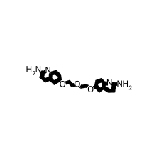 Nc1ccc2cc(OCCOCCOc3ccc4nc(N)ccc4c3)ccc2n1